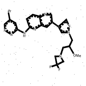 COC(CN1CC(F)(F)C1)Cn1cc(-c2cnc3ccc(Nc4cc(C(C)C)cnn4)nc3c2)cn1